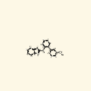 COc1ccnc(-c2ccccc2Sc2nc3ccccc3o2)c1